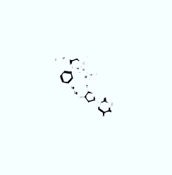 Cc1cn([C@H]2C[C@@H](N=[N+]=[N-])[C@@H](COP(=O)(O)OP(=O)(N[C@@H](C)C(=O)OC(C)C)Oc3ccccc3)O2)c(=O)[nH]c1=O